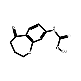 CC(C)(C)OC(=O)Nc1ccc2c(c1)OCCCC2=O